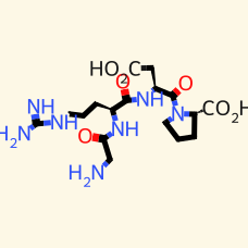 N=C(N)NCCC[C@H](NC(=O)CN)C(=O)N[C@@H](CC(=O)O)C(=O)N1CCC[C@H]1C(=O)O